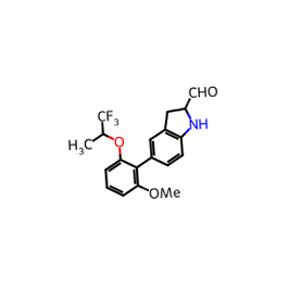 COc1cccc(OC(C)C(F)(F)F)c1-c1ccc2c(c1)CC(C=O)N2